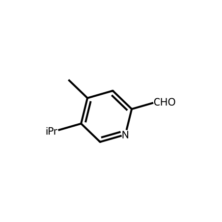 Cc1cc(C=O)ncc1C(C)C